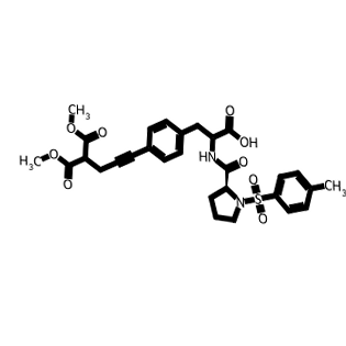 COC(=O)C(CC#Cc1ccc(CC(NC(=O)[C@@H]2CCCN2S(=O)(=O)c2ccc(C)cc2)C(=O)O)cc1)C(=O)OC